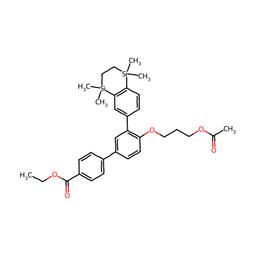 CCOC(=O)c1ccc(-c2ccc(OCCCOC(C)=O)c(-c3ccc4c(c3)[Si](C)(C)CC[Si]4(C)C)c2)cc1